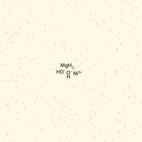 [MgH2].[Ni+2].[OH-].[OH-]